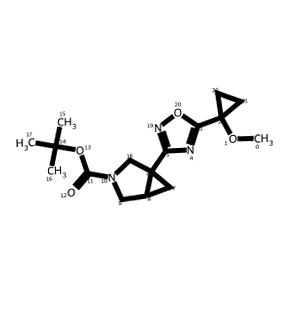 COC1(c2nc(C34CC3CN(C(=O)OC(C)(C)C)C4)no2)CC1